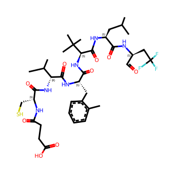 Cc1ccccc1C[C@H](NC(=O)[C@H](NC(=O)[C@@H](CS)NC(=O)CCC(=O)O)C(C)C)C(=O)N[C@H](C(=O)N[C@@H](CC(C)C)C(=O)N[C@H](C=O)CC(F)(F)F)C(C)(C)C